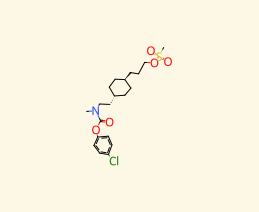 CN(CC[C@H]1CC[C@H](CCCOS(C)(=O)=O)CC1)C(=O)Oc1ccc(Cl)cc1